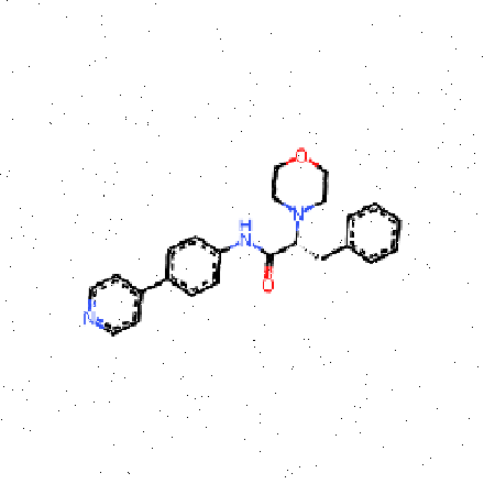 O=C(Nc1ccc(-c2ccncc2)cc1)[C@@H](Cc1ccccc1)N1CCOCC1